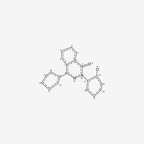 O=c1c2ccccc2c(-c2ccccc2)nn1-c1ccccc1Cl